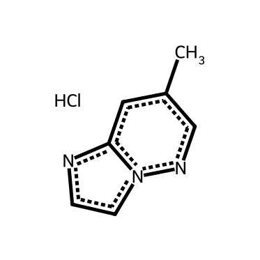 Cc1cnn2ccnc2c1.Cl